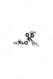 COCCc1c(-c2cccc(O)c2)c(-c2ccccc2)nn1C[C@H]1CC[C@H](COCC(=O)O)CC1